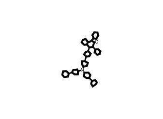 c1ccc(-c2ccc(N(c3ccc(-c4ccccc4)cc3)c3ccc(-c4ccc(-c5c(-c6ccccc6)c6oc7ccccc7c6c6ccccc56)cc4)cc3)cc2)cc1